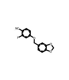 N#Cc1ccc(OCc2ccc3c(c2)OCO3)cc1F